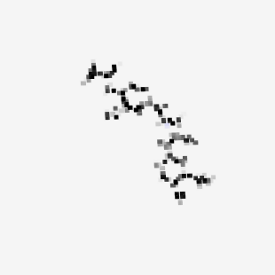 C=C(C)C(=O)Oc1ccc(O/C=C(\C)C(=O)Oc2ccc(O)c(C(=O)O)c2)cc1O